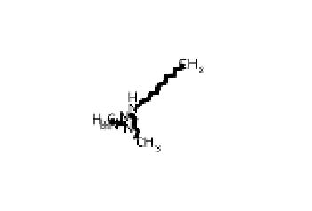 CCCCCCCCCCCCNc1cc(CCC)nc(NC)n1